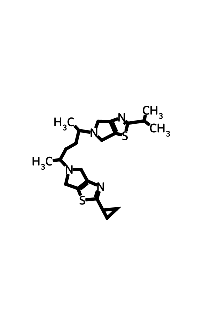 CC(C)c1nc2c(s1)CN(C(C)CCC(C)N1Cc3nc(C4CC4)sc3C1)C2